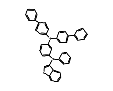 c1ccc(-c2ccc(N(c3ccc(-c4ccccc4)cc3)c3cccc(N(c4ccccc4)c4csc5ccccc45)c3)cc2)cc1